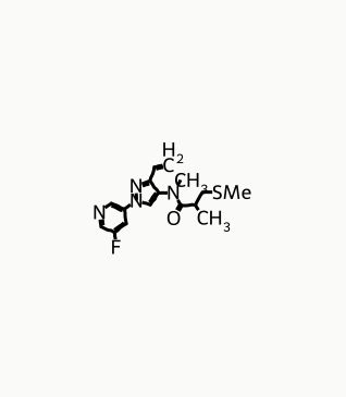 C=Cc1nn(-c2cncc(F)c2)cc1N(C)C(=O)C(C)CSC